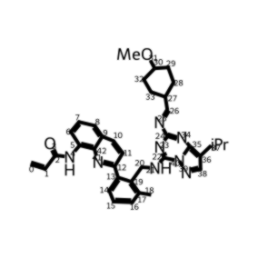 C=CC(=O)Nc1cccc2ccc(-c3cccc(C)c3CNc3nc(N=CC4CCC(OC)CC4)nc4c(C(C)C)cnn34)nc12